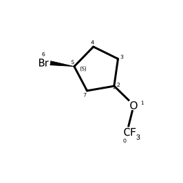 FC(F)(F)O[C]1CC[C@H](Br)C1